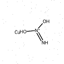 N=[N+](O)O.[Cu]